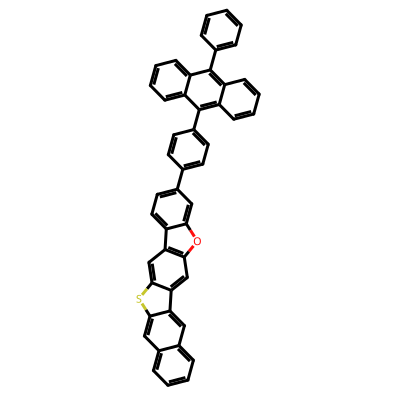 c1ccc(-c2c3ccccc3c(-c3ccc(-c4ccc5c(c4)oc4cc6c(cc45)sc4cc5ccccc5cc46)cc3)c3ccccc23)cc1